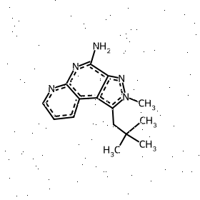 Cn1nc2c(N)nc3ncccc3c2c1CC(C)(C)C